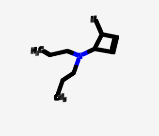 [Li][CH]1C=CC1N(CCC)CCC